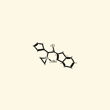 CCC[CH2][Zr]1([CH](C2=CC=CC2)C(CC)C2=Cc3ccccc3C2)[CH2][CH2]1